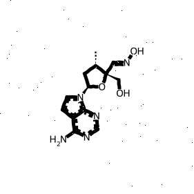 C[C@H]1C[C@H](n2ccc3c(N)ncnc32)O[C@]1(C=NO)CO